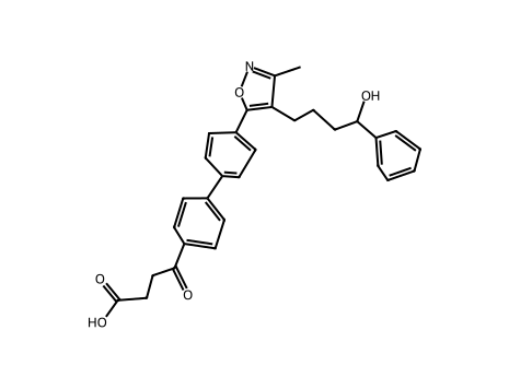 Cc1noc(-c2ccc(-c3ccc(C(=O)CCC(=O)O)cc3)cc2)c1CCCC(O)c1ccccc1